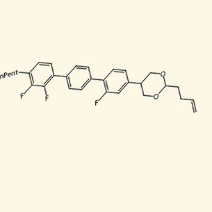 C=CCCC1OCC(c2ccc(-c3ccc(-c4ccc(CCCCC)c(F)c4F)cc3)c(F)c2)CO1